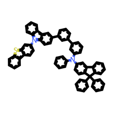 c1ccc(N(c2cccc(-c3cccc(-c4ccc5c(c4)c4ccccc4n5-c4ccc5c(c4)sc4ccccc45)c3)c2)c2ccc3c(c2)-c2ccccc2C3(c2ccccc2)c2ccccc2)cc1